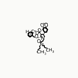 CCCCN(CCCC)C(=O)CN1C[C@H](c2ccc3c(c2)OCO3)[C@H](C(=O)OCC)[C@H]1COCc1ccccc1